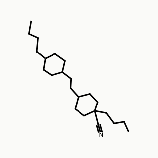 CCCCC1CCC(CCC2CCC(C#N)(CCCC)CC2)CC1